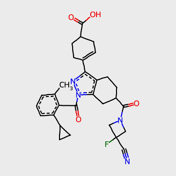 Cc1cccc(C2CC2)c1C(=O)n1nc(C2=CCC(C(=O)O)CC2)c2c1CC(C(=O)N1CC(F)(C#N)C1)CC2